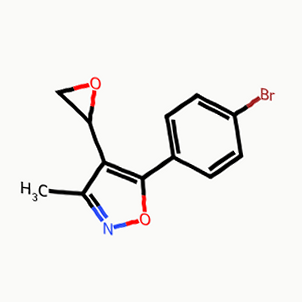 Cc1noc(-c2ccc(Br)cc2)c1C1CO1